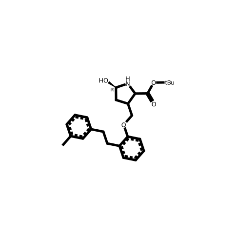 Cc1cccc(CCc2ccccc2OCC2C[C@@H](O)NC2C(=O)OC(C)(C)C)c1